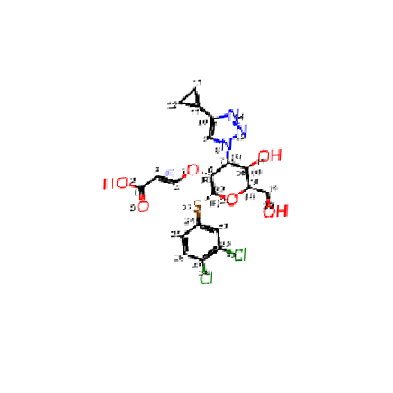 O=C(O)/C=C/O[C@@H]1[C@@H](n2cc(C3CC3)nn2)[C@@H](O)[C@@H](CO)O[C@@H]1Sc1ccc(Cl)c(Cl)c1